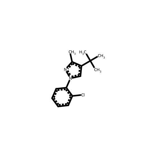 Cc1nn(-c2ccccc2Cl)cc1C(C)(C)C